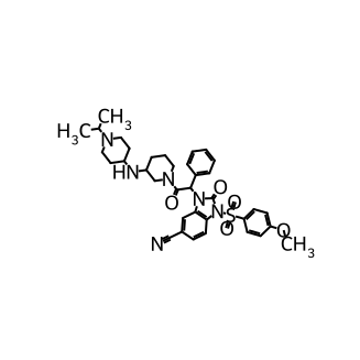 COc1ccc(S(=O)(=O)n2c(=O)n(C(C(=O)N3CCCC(NC4CCN(C(C)C)CC4)C3)c3ccccc3)c3cc(C#N)ccc32)cc1